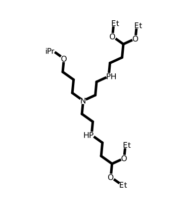 CCOC(CCPCCN(CCCOC(C)C)CCPCCC(OCC)OCC)OCC